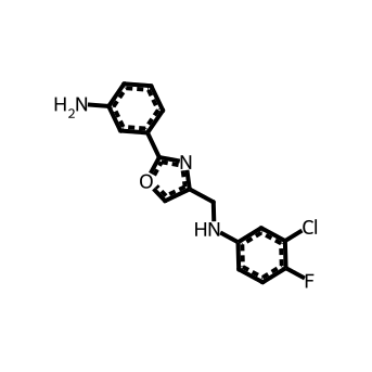 Nc1cccc(-c2nc(CNc3ccc(F)c(Cl)c3)co2)c1